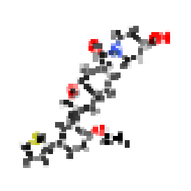 COc1ccc(-c2cccs2)cc1C(C=O)=Cc1ccc(C(=O)N2CCC(O)CC2)cc1